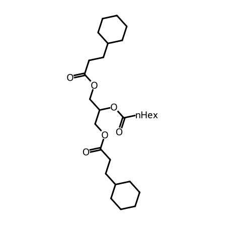 CCCCCCC(=O)OC(COC(=O)CCC1CCCCC1)COC(=O)CCC1CCCCC1